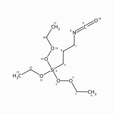 CCOO[Si](CCCN=C=O)(OCC)OOCC